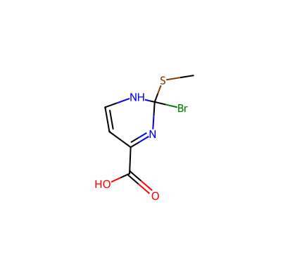 CSC1(Br)N=C(C(=O)O)C=CN1